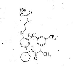 CC(C(=O)NC1(c2ccc(NCCNC(=O)OC(C)(C)C)cc2)CCCCC1)c1cc(C(F)(F)F)cc(C(F)(F)F)c1